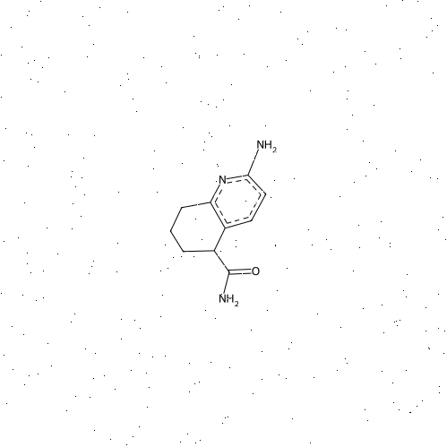 NC(=O)C1CCCc2nc(N)ccc21